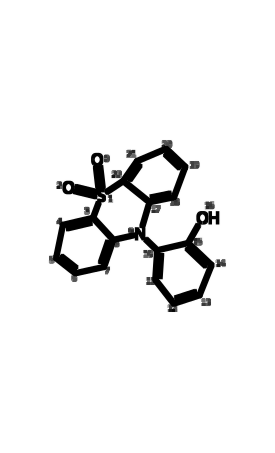 O=S1(=O)c2ccccc2N(c2ccccc2O)c2ccccc21